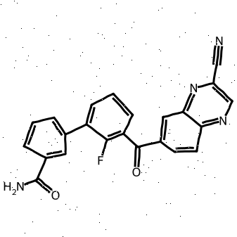 N#Cc1cnc2ccc(C(=O)c3cccc(-c4cccc(C(N)=O)c4)c3F)cc2n1